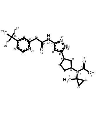 CC1(N(C(=O)O)C2CCC(c3cc(NC(=O)Cc4cc(C(F)(F)F)ccn4)n[nH]3)C2)CC1